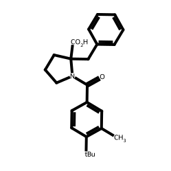 Cc1cc(C(=O)N2CCCC2(Cc2ccccc2)C(=O)O)ccc1C(C)(C)C